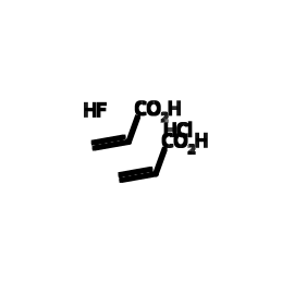 C=CC(=O)O.C=CC(=O)O.Cl.F